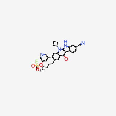 CCCCc1cc2c(=O)c3c4ccc(C#N)cc4[nH]c3n(C3CCC3)c2cc1-c1cncc(OS(=O)(=O)F)c1